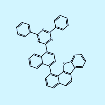 c1ccc(-c2nc(-c3ccccc3)nc(-c3ccc(-c4cccc5ccc6c7ccccc7sc6c45)c4ccccc34)n2)cc1